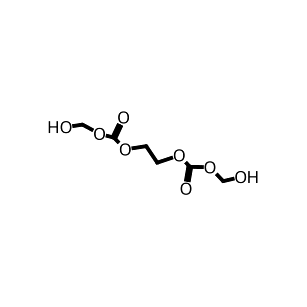 O=C(OCO)OCCOC(=O)OCO